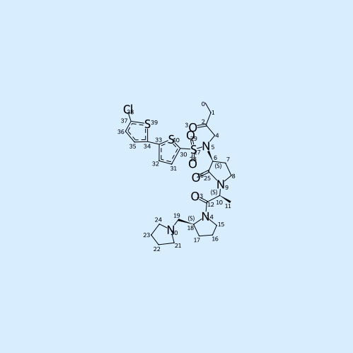 CCC(=O)CN([C@H]1CCN([C@@H](C)C(=O)N2CCC[C@H]2CN2CCCC2)C1=O)S(=O)(=O)c1ccc(-c2ccc(Cl)s2)s1